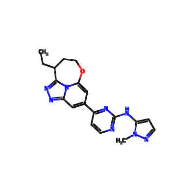 CCC1CCOc2cc(-c3ccnc(Nc4ccnn4C)n3)cc3nnc1n23